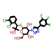 CC(C)(O)[C@H](S[C@@H]1O[C@H](CO)[C@H](O)[C@H](n2cc(-c3cc(F)c(F)c(F)c3)nn2)[C@H]1O)c1cccc(Cl)c1Cl